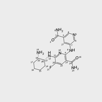 NC(=O)c1cncc(Nc2nc(N[C@@H]3CCCC[C@@H]3N)c(F)cc2C(N)=O)c1